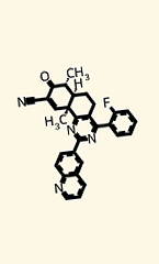 C[C@H]1C(=O)C(C#N)=C[C@@]2(C)c3nc(-c4ccc5ncccc5c4)nc(-c4ccccc4F)c3CC[C@H]12